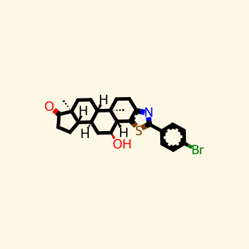 C[C@]12CCc3nc(-c4ccc(Br)cc4)sc3[C@@H]1[C@@H](O)C[C@@H]1[C@@H]2CC[C@]2(C)C(=O)CC[C@@H]12